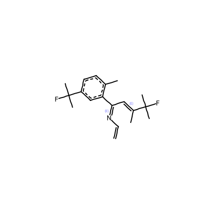 C=C/N=C(\C=C(/C)C(C)(C)F)c1cc(C(C)(C)F)ccc1C